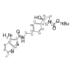 Cc1ccc2c(N)c(C(=O)NCCc3ccc(C4(O)CCN(C(=O)OC(C)(C)C)C4)cc3)sc2n1